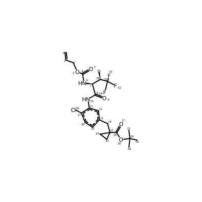 C=CCOC(=O)N[C@H](C(=O)Nc1cc(CC2(C(=O)OC(C)(C)C)CC2)ccc1Cl)[C@@H](C)C(F)(F)F